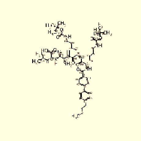 CCCCc1ccc(-c2ccc(C(=O)N[C@@H](CCCCNC(=O)OC(C)(C)C)C(=O)N[C@@H](CCCCNC(=O)OC(C)(C)C)C(=O)N[C@@H](N)C(=O)N[C@@H](CC(C)C)C(=O)O)cc2)cc1